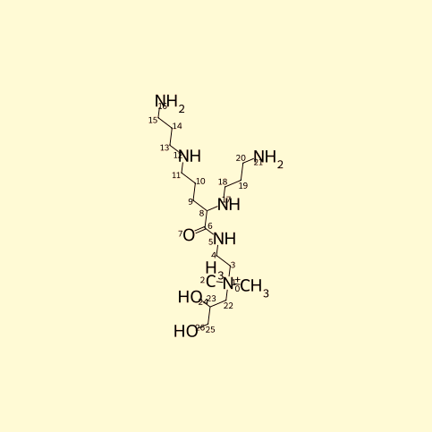 C[N+](C)(CCNC(=O)C(CCCNCCCN)NCCCN)CC(O)CO